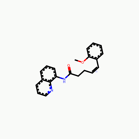 COc1ccccc1/C=C\CCC(=O)Nc1cccc2cccnc12